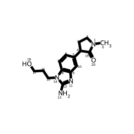 CN1CCC(c2ccc3c(c2)nc(N)n3CCCO)C1=O